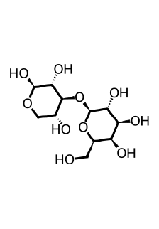 OC[C@H]1O[C@@H](O[C@@H]2[C@@H](O)[C@H](O)OC[C@H]2O)[C@H](O)[C@@H](O)[C@H]1O